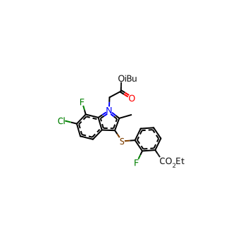 CCOC(=O)c1cccc(Sc2c(C)n(CC(=O)OCC(C)C)c3c(F)c(Cl)ccc23)c1F